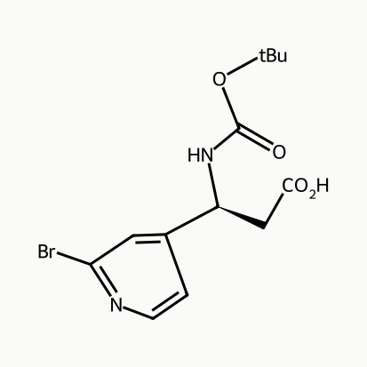 CC(C)(C)OC(=O)N[C@@H](CC(=O)O)c1ccnc(Br)c1